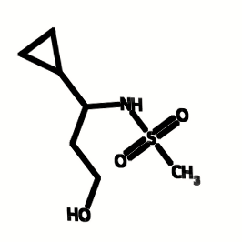 CS(=O)(=O)NC(CCO)C1CC1